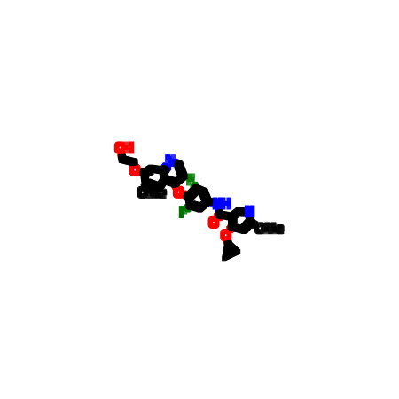 COc1cc(OC2CC2)c(C(=O)Nc2cc(F)c(Oc3ccnc4cc(OCCO)c(OC)cc34)c(F)c2)cn1